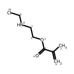 C=C(C)C(=O)OCCNCCl